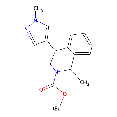 CC1c2ccccc2C(c2cnn(C)c2)CN1C(=O)OC(C)(C)C